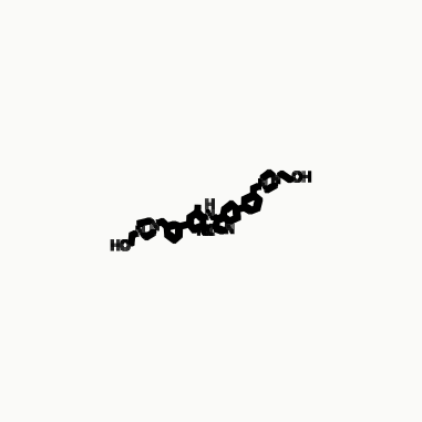 Cc1cc(-c2cccc(CN3CCN(CCO)CC3)c2)cc(Cl)c1Nc1c(C#N)cnc2cc(-c3cccc(CN4CCN(CCO)CC4)c3)ccc12